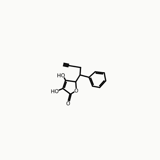 C#CCC(c1ccccc1)C1OC(=O)C(O)=C1O